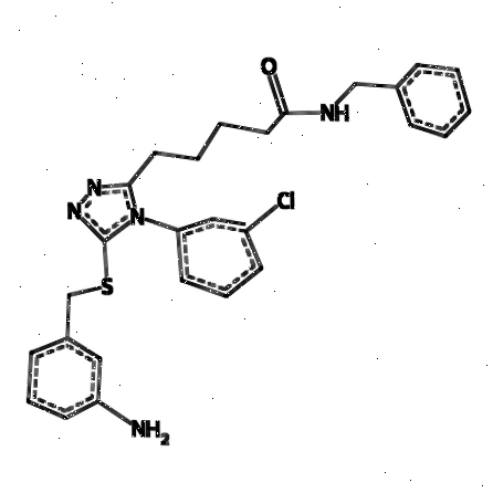 Nc1cccc(CSc2nnc(CCCCC(=O)NCc3ccccc3)n2-c2cccc(Cl)c2)c1